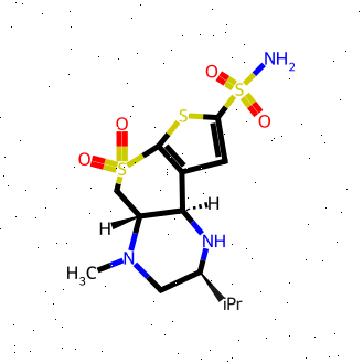 CC(C)[C@H]1CN(C)[C@@H]2CS(=O)(=O)c3sc(S(N)(=O)=O)cc3[C@H]2N1